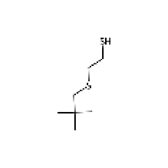 CC(C)(C)CSCCS